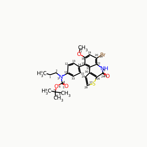 CCCN(C(=O)OC(C)(C)C)c1ccc(-c2c(OC)cc(Br)c3[nH]c(=O)c4sccc4c23)cc1